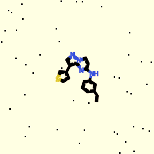 C=Cc1cccc(Nc2ccn3ncc(-c4ccsc4)c3n2)c1